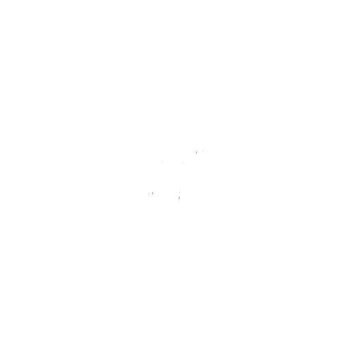 CCCCN1CCN(CCC)C2C[C@@H]21